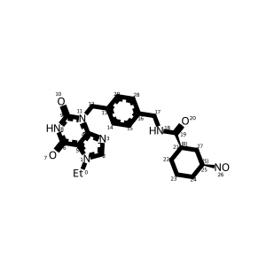 CCn1cnc2c1c(=O)[nH]c(=O)n2Cc1ccc(CNC(=O)[C@@H]2CCC[C@H](N=O)C2)cc1